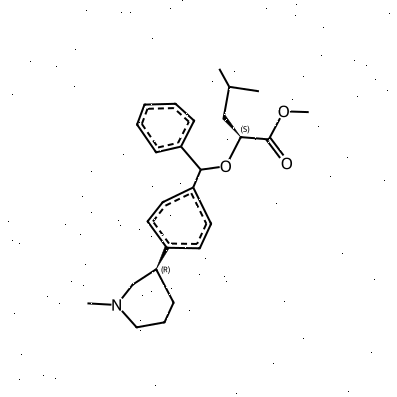 COC(=O)[C@H](CC(C)C)OC(c1ccccc1)c1ccc([C@H]2CCCN(C)C2)cc1